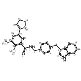 O=C(NCc1ccc(Cc2c[nH]c3ccccc23)cc1)c1nc(C2=CCCS2)nc(O)c1O